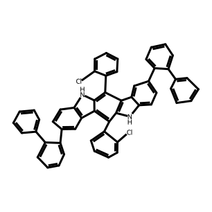 Clc1ccccc1-c1c2[nH]c3ccc(-c4ccccc4-c4ccccc4)cc3c2c(-c2ccccc2Cl)c2[nH]c3ccc(-c4ccccc4-c4ccccc4)cc3c12